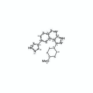 COC1CCC(c2n[nH]c3ncc4ccc(-c5cn[nH]c5)cc4c23)CC1